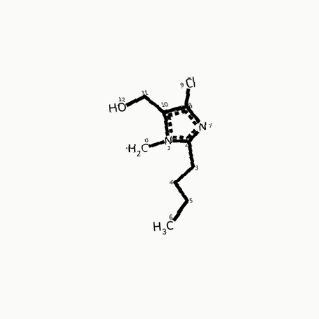 [CH2]n1c(CCCC)nc(Cl)c1CO